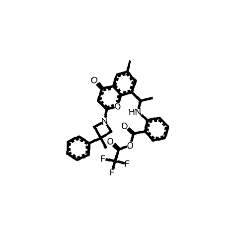 Cc1cc(C(C)Nc2ccccc2C(=O)OC(=O)C(F)(F)F)c2oc(N3CC(C)(c4ccccc4)C3)cc(=O)c2c1